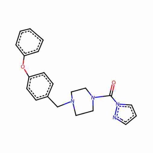 O=C(N1CCN(Cc2ccc(Oc3ccccc3)cc2)CC1)n1cccn1